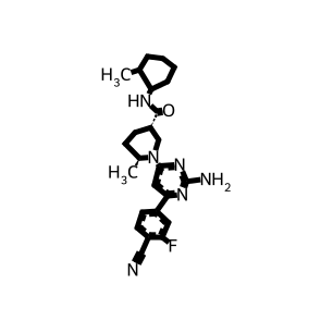 CC1CCCCC1NC(=O)[C@H]1CC[C@@H](C)N(c2cc(-c3ccc(C#N)c(F)c3)nc(N)n2)C1